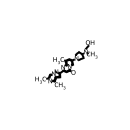 Cc1cn2nc(-c3cc(=O)n4cc(N5CCC(N(C)CCO)CC5)cc(C)c4n3)cc2c(C)n1